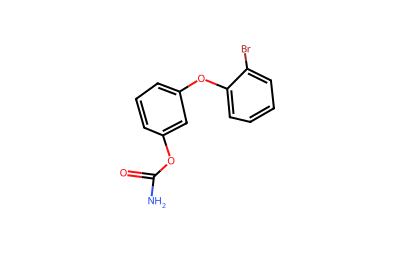 NC(=O)Oc1cccc(Oc2ccccc2Br)c1